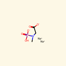 CN(CC(=O)[O-])P(=O)([O-])O.[Na+].[Na+]